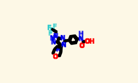 O=C(O)Nc1ccc(-c2nc(N3C4CCC3COC4)c3nnn(CC(F)(F)F)c3n2)cc1